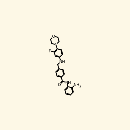 Nc1ccccc1NC(=O)c1ccc(CNc2ccc(N3CCOCC3)c(F)c2)cc1